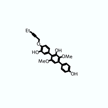 CCC#CCOc1ccc(-c2c(OC)cc(-c3ccc(O)cc3)c(OC)c2O)cc1O